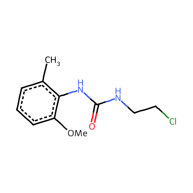 COc1cccc(C)c1NC(=O)NCCCl